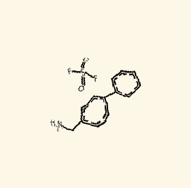 NCc1ccc(-c2ccccc2)cc1.O=S(=O)(F)F